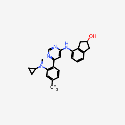 CN(c1cc(C(F)(F)F)ccc1-c1cc(Nc2cccc3c2C[C@@H](O)C3)ncn1)C1CC1